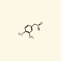 Cc1ccc(C[SH](=O)=O)cc1C